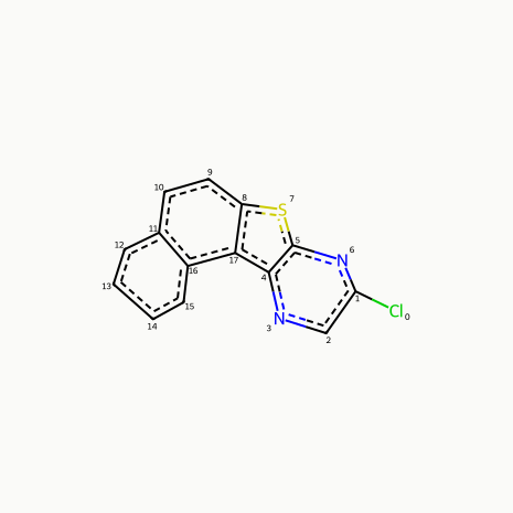 Clc1cnc2c(n1)sc1ccc3ccccc3c12